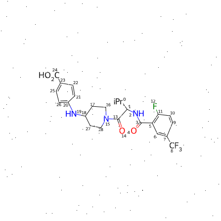 CC(C)C(NC(=O)c1cc(C(F)(F)F)ccc1F)C(=O)N1CCC(Nc2ccc(C(=O)O)cc2)CC1